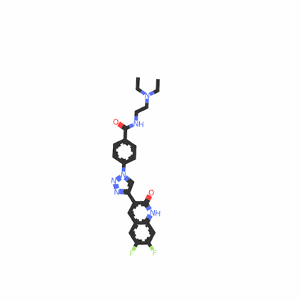 CCN(CC)CCNC(=O)c1ccc(-n2cc(-c3cc4cc(F)c(F)cc4[nH]c3=O)nn2)cc1